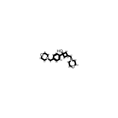 OC1(c2ccc(CN3CCOCC3)cc2)CC(CN2CCOCC2)C1